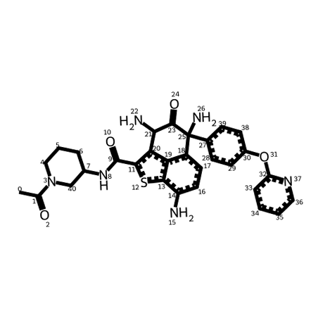 CC(=O)N1CCCC(NC(=O)c2sc3c(N)ccc4c3c2C(N)C(=O)C4(N)c2ccc(Oc3ccccn3)cc2)C1